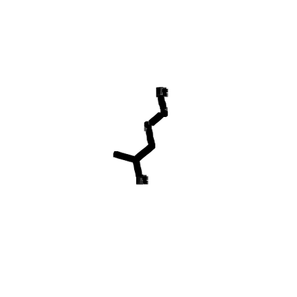 CCSSCC(C)CC